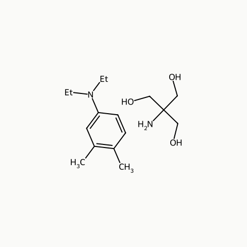 CCN(CC)c1ccc(C)c(C)c1.NC(CO)(CO)CO